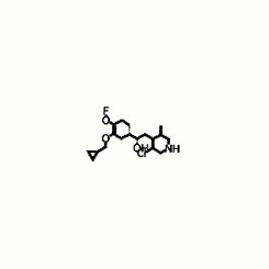 CC1CNCC(Cl)C1C[C@H](O)[C@H]1CCC(OF)=C(OCC2CC2)C1